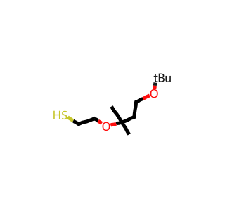 CC(C)(C)OCCC(C)(C)OCCS